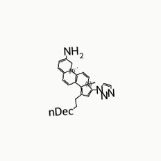 CCCCCCCCCCCCC1=C2C3=C(C=C[C@]2(C)C(n2ccnn2)=C1)[C@]1(C)CC(N)=CC=C1C=C3